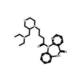 CCN(CC)CC1COCCN1CCCC(=O)N1c2ccccc2NC(=O)c2cccnc21